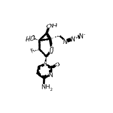 [N-]=[N+]=NC[C@]12O[C@@H](n3ccc(N)nc3=O)[C@H](F)[C@@]1(O)C2O